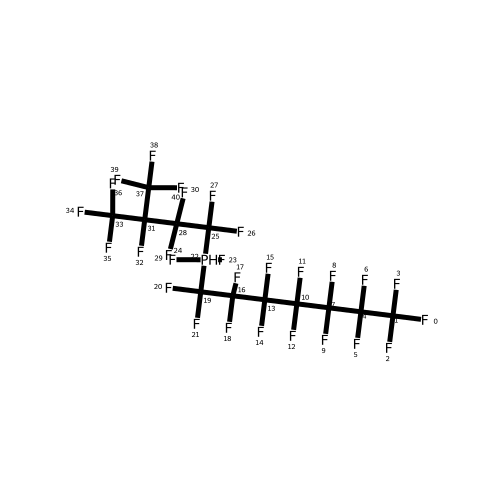 FC(F)(F)C(F)(F)C(F)(F)C(F)(F)C(F)(F)C(F)(F)C(F)(F)[PH](F)(F)C(F)(F)C(F)(F)C(F)(C(F)(F)F)C(F)(F)F